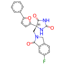 O=C1NC(=O)[C@@](CN2Cc3ccc(F)cc3C2=O)(c2ccc(-c3ccccc3)o2)N1